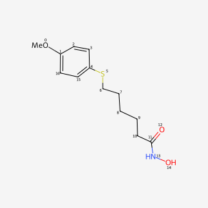 COc1ccc(SCCCCCC(=O)NO)cc1